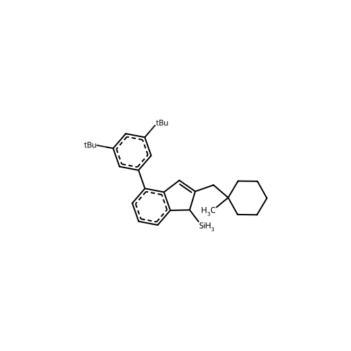 CC1(CC2=Cc3c(-c4cc(C(C)(C)C)cc(C(C)(C)C)c4)cccc3C2[SiH3])CCCCC1